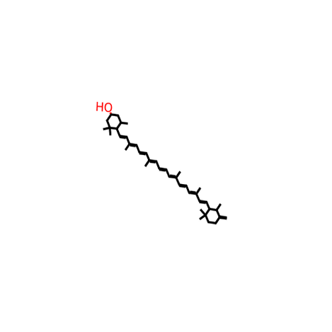 C=C1CCC(C)(C)C(/C=C/C(C)=C/C=C/C(C)=C/C=C/C=C(C)/C=C/C=C(C)/C=C/C2C(C)CC(O)CC2(C)C)C1C